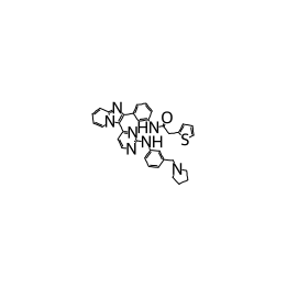 O=C(Cc1cccs1)Nc1cccc(-c2nc3ccccn3c2-c2ccnc(Nc3cccc(CN4CCCC4)c3)n2)c1